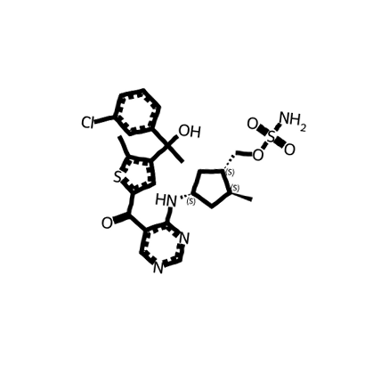 Cc1sc(C(=O)c2cncnc2N[C@@H]2C[C@H](COS(N)(=O)=O)[C@@H](C)C2)cc1C(C)(O)c1cccc(Cl)c1